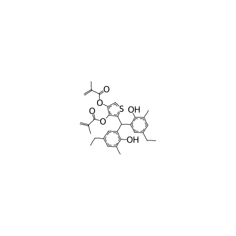 C=C(C)C(=O)Oc1csc(C(c2cc(CC)cc(C)c2O)c2cc(CC)cc(C)c2O)c1OC(=O)C(=C)C